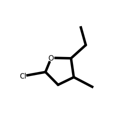 CCC1OC(Cl)CC1C